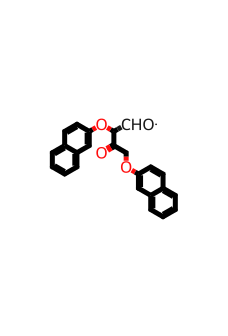 O=[C]C(Oc1ccc2ccccc2c1)C(=O)COc1ccc2ccccc2c1